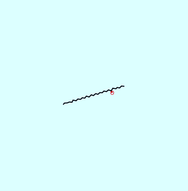 CCCCCCCCCCCCCCCCCCCCCCC(=O)CCCCCC